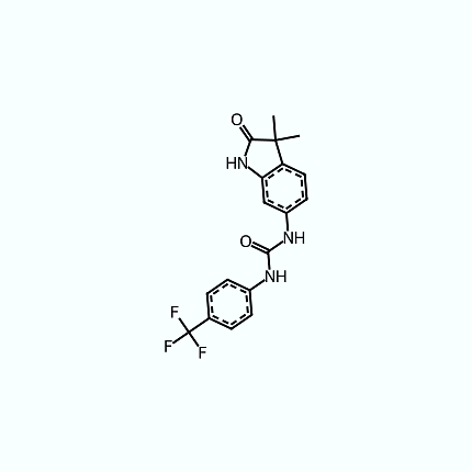 CC1(C)C(=O)Nc2cc(NC(=O)Nc3ccc(C(F)(F)F)cc3)ccc21